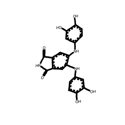 O=C1NC(=O)c2cc(Nc3ccc(O)c(O)c3)c(Nc3ccc(O)c(O)c3)cc21